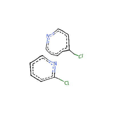 Clc1ccccn1.Clc1ccncc1